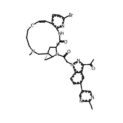 CC(=O)c1nn(CC(=O)N2C3C[C@]34C[C@H]2C(=O)Nc2nc(Br)ccc2C=CCCCCN(C)C4)c2ccc(-c3cnc(C)nc3)cc12